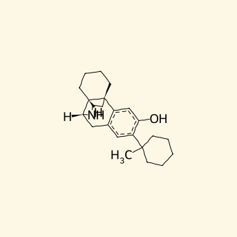 CC1(c2cc3c(cc2O)[C@@]24CCCC[C@H]2[C@@H](C3)NCC4)CCCCC1